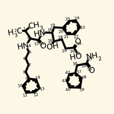 CC(C)C(NCCCCc1ccccc1)C(=O)NC(Cc1ccccc1)C(O)CCC(=O)O.NC(=O)Cc1ccccc1